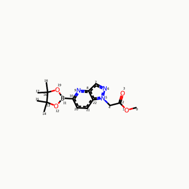 COC(=O)Cn1ncc2nc(B3OC(C)(C)C(C)(C)O3)ccc21